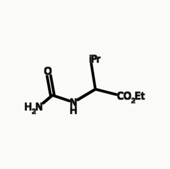 CCOC(=O)C(NC(N)=O)C(C)C